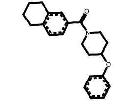 O=C(c1ccc2c(c1)CCCC2)N1CCC(Oc2ccccc2)CC1